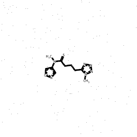 CN(C(=S)CCCc1nnnn1C)c1cnoc1